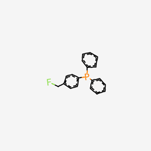 FCc1ccc(P(c2ccccc2)c2ccccc2)cc1